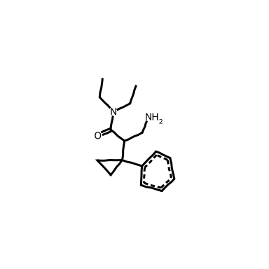 CCN(CC)C(=O)C(CN)C1(c2ccccc2)CC1